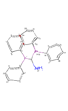 NC(P(c1ccccc1)c1ccccc1)P(c1ccccc1)c1ccccc1